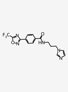 O=C(NCCCn1ccnc1)c1ccc(-c2noc(C(F)(F)F)n2)cc1